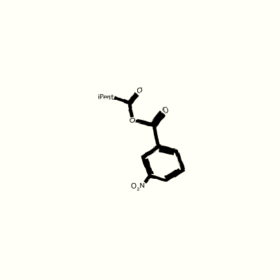 CCCC(C)C(=O)OC(=O)c1cccc([N+](=O)[O-])c1